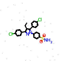 CCc1c(-c2ccc(Cl)cc2)nn(-c2ccc(S(N)(=O)=O)cc2)c1-c1ccc(Cl)cc1